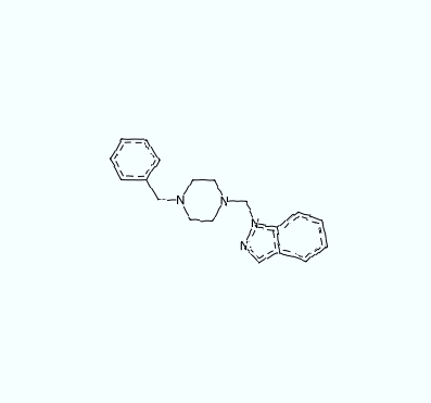 c1ccc(CN2CCN(Cn3ncc4ccccc43)CC2)cc1